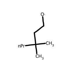 CCCC(C)(C)CC[O]